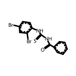 O=C(NC(=S)Nc1ccc(Br)cc1Br)c1ccccc1